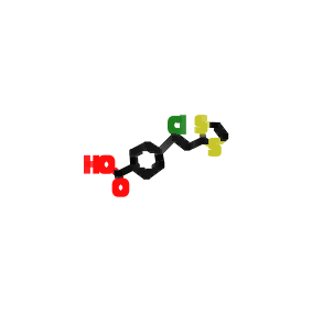 O=C(O)c1ccc(C(Cl)=CC2SC=CS2)cc1